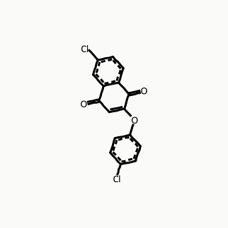 O=C1C=C(Oc2ccc(Cl)cc2)C(=O)c2ccc(Cl)cc21